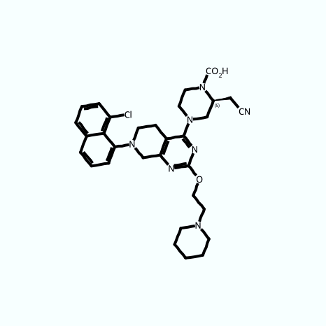 N#CC[C@H]1CN(c2nc(OCCN3CCCCC3)nc3c2CCN(c2cccc4cccc(Cl)c24)C3)CCN1C(=O)O